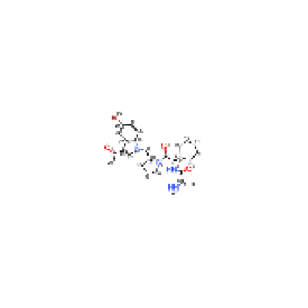 CN[C@@H](C)C(=O)N[C@H](C(=O)N1CCC[C@H]1Cn1cc(C(C)=O)c2cc(Br)ccc21)C1CCCCC1